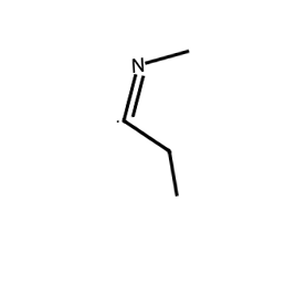 CC/[C]=N\C